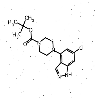 CC(C)(C)OC(=O)N1CCN(c2cc(Cl)cc3[nH]ncc23)CC1